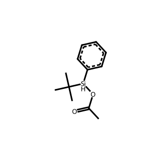 CC(=O)O[SiH](c1ccccc1)C(C)(C)C